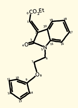 CCOC(=O)/C=C1/C(=O)N(CCOc2ccccc2)c2ccccc21